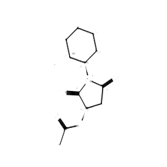 CC(=O)O[C@@H]1CC(=O)N([C@@H]2CCCC[C@H]2C)C1=O